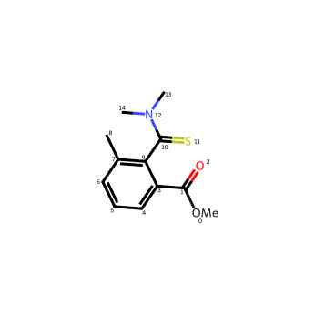 COC(=O)c1cccc(C)c1C(=S)N(C)C